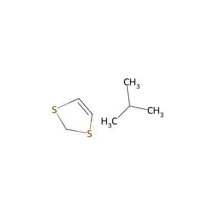 C1=CSCS1.CC(C)C